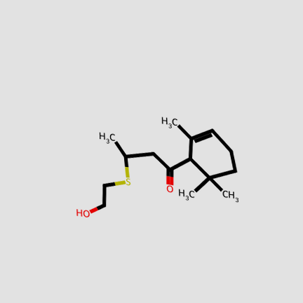 CC1=CCCC(C)(C)C1C(=O)CC(C)SCCO